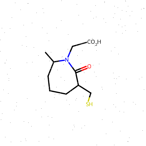 CC1CCCC(CS)C(=O)N1CC(=O)O